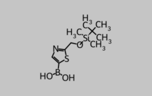 CC(C)(C)[Si](C)(C)OCc1ncc(B(O)O)s1